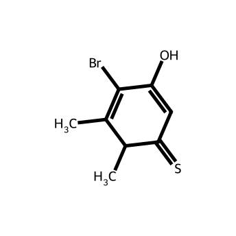 CC1=C(Br)C(O)=CC(=S)C1C